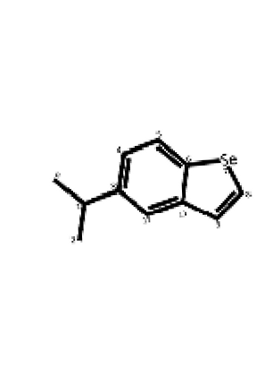 CC(C)c1ccc2[se]ccc2c1